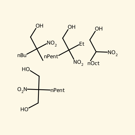 CCCCC(C)(CO)[N+](=O)[O-].CCCCCC(CC)(CO)[N+](=O)[O-].CCCCCC(CO)(CO)[N+](=O)[O-].CCCCCCCCC(CO)[N+](=O)[O-]